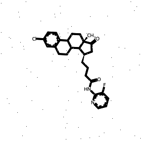 C[C@]12CCC3c4ccc(Cl)cc4CCC3C1[C@H](CCCC(=O)Nc1ncccc1F)CC2=O